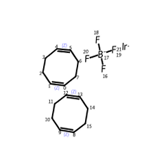 C1=C\CC/C=C\CC/1.C1=C\CC/C=C\CC/1.F[B-](F)(F)F.[Ir]